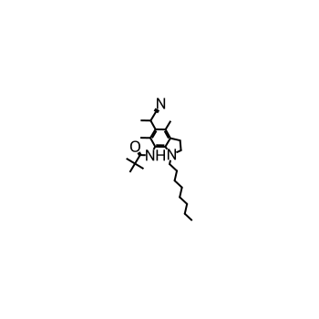 CCCCCCCCN1CCc2c(C)c(C(C)C#N)c(C)c(NC(=O)C(C)(C)C)c21